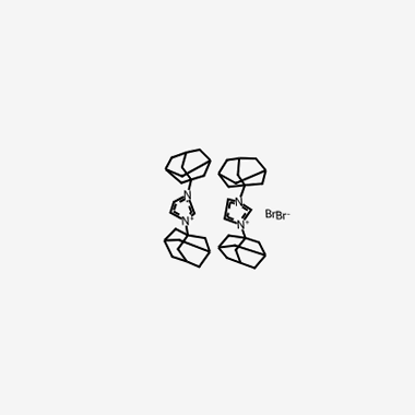 [Br-].[Br-].c1c[n+](C23CC4CC(CC(C4)C2)C3)cn1C12CC3CC(CC(C3)C1)C2.c1c[n+](C23CC4CC(CC(C4)C2)C3)cn1C12CC3CC(CC(C3)C1)C2